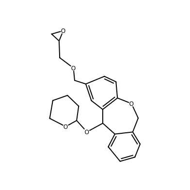 c1ccc2c(c1)COc1ccc(COCC3CO3)cc1C2OC1CCCCO1